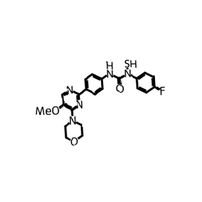 COc1cnc(-c2ccc(NC(=O)N(S)c3ccc(F)cc3)cc2)nc1N1CCOCC1